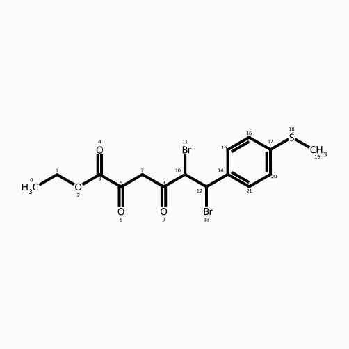 CCOC(=O)C(=O)CC(=O)C(Br)C(Br)c1ccc(SC)cc1